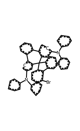 Brc1cccc2c1-c1ccccc1C21c2cc(N(c3ccccc3)c3ccccc3)ccc2-c2ccccc2-c2ccc(N(c3ccccc3)c3ccccc3)cc21